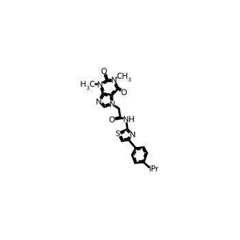 CC(C)c1ccc(-c2csc(NC(=O)Cn3cnc4c3c(=O)n(C)c(=O)n4C)n2)cc1